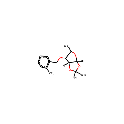 CCCCC1(CCC)O[C@H]2O[C@H](CCC)[C@H](OCc3ccccc3C(F)(F)F)[C@H]2O1